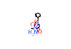 CCN1C(=O)N(OCc2ccccc2)CC[C@H]1C(N)=O